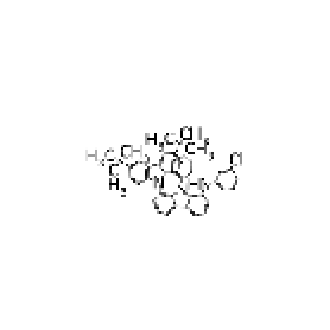 CC(C)(C)c1ccc2c(c1)c1cc(C(C)(C)C)ccc1n2-c1cccc2c3cccc(Nc4cccc(Cl)c4)c3n(-c3ccccc3)c12